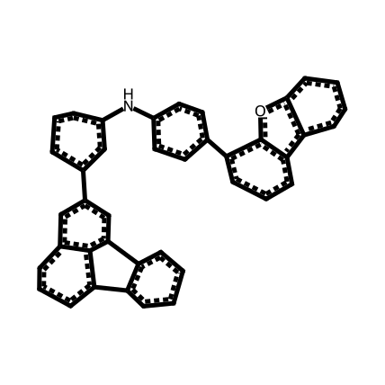 c1cc(Nc2ccc(-c3cccc4c3oc3ccccc34)cc2)cc(-c2cc3c4c(cccc4c2)-c2ccccc2-3)c1